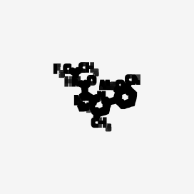 COc1c(C#N)cccc1-c1cc(C)n2cnc(C(=O)NC(C)C(F)(F)F)c2n1